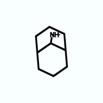 [NH]C1C2CCCC1CCC2